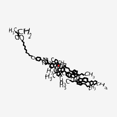 C=C(CC)C(=O)OCCCCCCCCCCOc1ccc(-c2ncc(-c3ccc4c(c3)C3(c5nc6c(nc5-4)C4(c5cc(-c7ccc8c(c7)C7(c9nc%10c(nc9-8)C8(c9cc(-c%11ccc%12cc(C)ccc%12c%11)ccc9-%10)C9(CCCC)CCC8(CCCC)CC9)C8(CCCC)CCC7(CCCC)CC8)ccc5-6)C(CC)(CC)CCC4(CC)CC)C(C)(C)CCC3(C)C)cn2)cc1